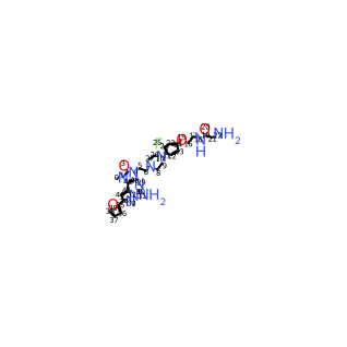 Cn1c(=O)n(CCN2CCN(c3ccc(OCCNC(=O)CN)cc3F)CC2)c2nc(N)n3nc(-c4ccco4)cc3c21